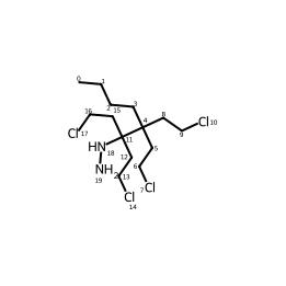 CCCCC(CCCl)(CCCl)C(CCCl)(CCCl)NN